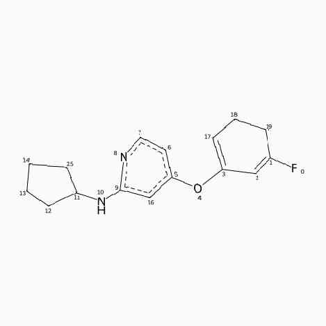 FC1=CC(Oc2ccnc(NC3CCCC3)c2)=CC[CH]1